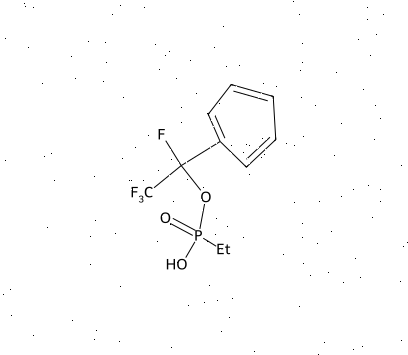 CCP(=O)(O)OC(F)(c1ccccc1)C(F)(F)F